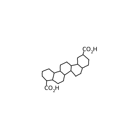 O=C(O)C1CCC2CCC3C(CCC4C5CCCC(C(=O)O)C5CCC34)C2C1